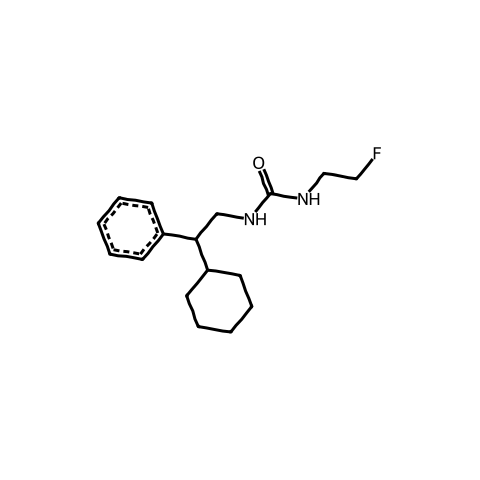 O=C(NCCF)NCC(c1ccccc1)C1CCCCC1